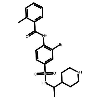 Cc1ccccc1C(=O)Nc1ccc(S(=O)(=O)NC(C)C2CCNCC2)cc1Br